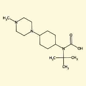 CN1CCN(C2CCC(N(C(=O)O)C(C)(C)C)CC2)CC1